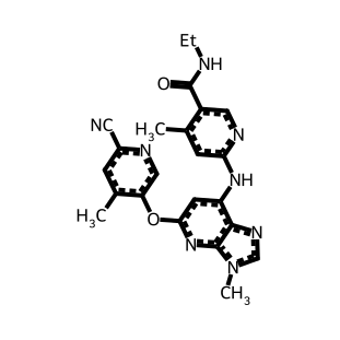 CCNC(=O)c1cnc(Nc2cc(Oc3cnc(C#N)cc3C)nc3c2ncn3C)cc1C